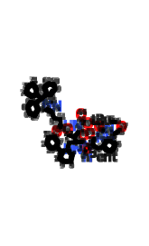 CCCCCC(=O)NC(Cc1ccccc1-c1ccccc1)(C(=O)NC(Cc1ccccc1)C(=O)NC(=O)N1CCOCC1)C(CNC(=O)OC(C)(C)C)COC(=O)CCc1cn(C(c2ccccc2)(c2ccccc2)c2ccccc2)cn1